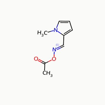 CC(=O)O/N=C/c1cccn1C